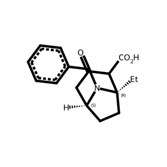 CC[C@@]12CC[C@@H](CC(=O)C1C(=O)O)N2Cc1ccccc1